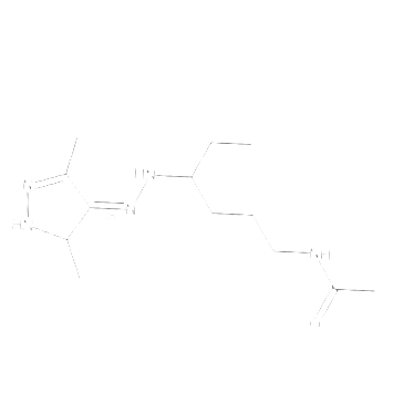 CCC(CCCNC(C)=O)N/N=C1\C(C)=NNC1C